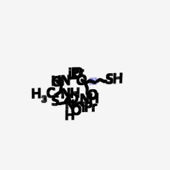 CC(C)C1NC(=O)CC(/C=C/CCS)OC(=O)C(C(C)C)NC(=O)C2NC(=O)C(CSC2C)NC1=O